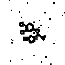 Clc1ccc(OC(C2CC2)[C@H]2CCNC2)cc1Cl